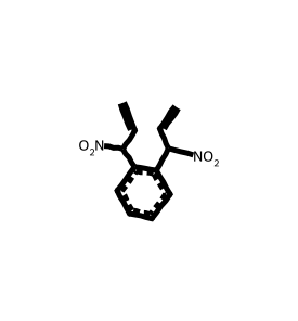 C=CC(c1ccccc1C(C=C)[N+](=O)[O-])[N+](=O)[O-]